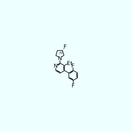 CCc1c(-c2cc(F)ccc2F)ccnc1N1CC[C@H](F)C1